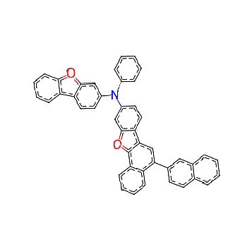 c1ccc(N(c2ccc3c(c2)oc2ccccc23)c2ccc3c(c2)oc2c4ccccc4c(-c4ccc5ccccc5c4)cc32)cc1